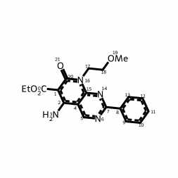 CCOC(=O)c1c(N)c2cnc(-c3ccccc3)nc2n(CCOC)c1=O